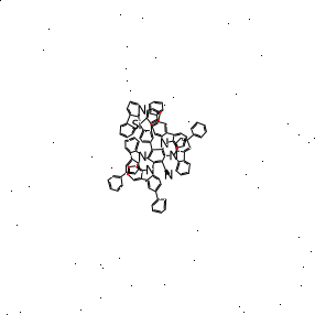 N#Cc1c(-n2c3ccccc3c3cc(-c4ccccc4)ccc32)c(-n2c3ccccc3c3cc(-c4ccccc4)ccc32)c(-c2ccc3c(c2)-c2ccccc2[Si]32c3ccccc3-c3cccnc32)c(-n2c3ccccc3c3cc(-c4ccccc4)ccc32)c1-n1c2ccccc2c2cc(-c3ccccc3)ccc21